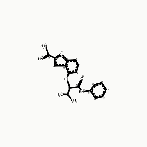 CC(C)C(Oc1cccc2sc(C(=N)N)cc12)C(=O)Nc1ccccc1